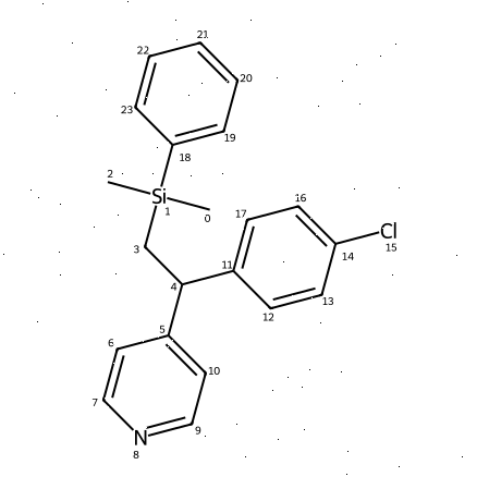 C[Si](C)(CC(c1ccncc1)c1ccc(Cl)cc1)c1ccccc1